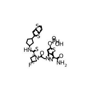 NC(=O)c1nn(CC(=O)N2C[C@H](F)C[C@H]2C(=S)NC2CCC(c3cc4sccc4s3)C2)c2cc(O[PH](=O)O)sc12